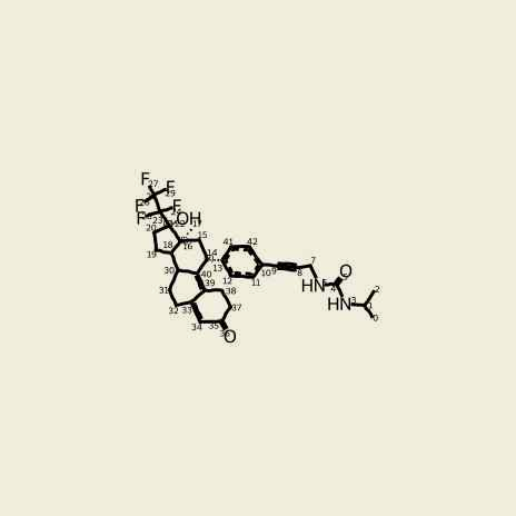 CC(C)NC(=O)NCC#Cc1ccc([C@H]2C[C@@]3(C)C(CC[C@@]3(O)C(F)(F)C(F)(F)F)C3CCC4=CC(=O)CCC4=C32)cc1